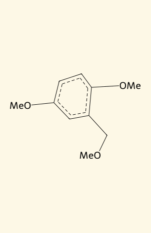 COCc1cc(OC)ccc1OC